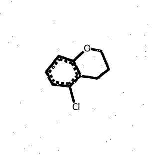 Clc1cccc2c1[CH]CCO2